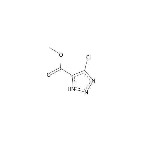 COC(=O)c1[nH]nnc1Cl